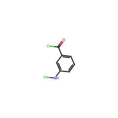 O=C(Cl)c1cccc(NCl)c1